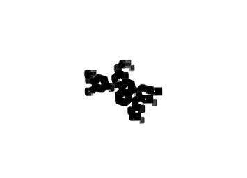 C#CCN(c1ccc(N(CC(=O)OC)SC2=CCC(OC)C(Cl)=C2)c2ccccc12)C(C)CC(=O)OC